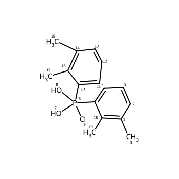 Cc1cccc(P(O)(O)(Cl)c2cccc(C)c2C)c1C